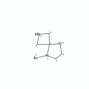 CC(=O)N1CCOC12CNC2